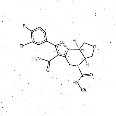 CC(C)(C)NC(=O)N1Cc2c(C(N)=O)c(-c3ccc(F)c(Cl)c3)nn2[C@H]2COC[C@H]21